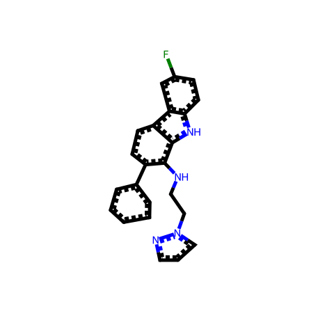 Fc1ccc2[nH]c3c(NCCn4cccn4)c(-c4ccccc4)ccc3c2c1